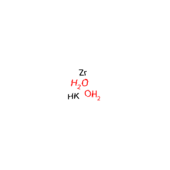 O.O.[KH].[Zr]